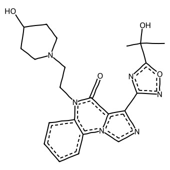 CC(C)(O)c1nc(-c2ncn3c2c(=O)n(CCN2CCC(O)CC2)c2ccccc23)no1